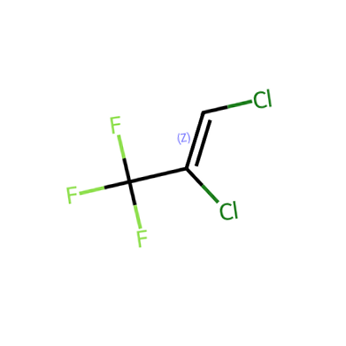 FC(F)(F)/C(Cl)=C/Cl